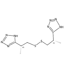 C[C@H](CSSC[C@H](C)c1nnn[nH]1)c1nnn[nH]1